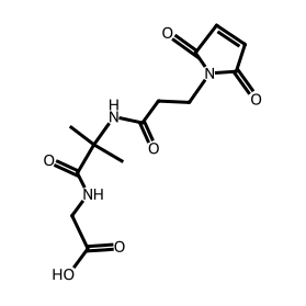 CC(C)(NC(=O)CCN1C(=O)C=CC1=O)C(=O)NCC(=O)O